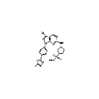 CNS(=O)(=O)[C@@H]1CC[C@@H](Nc2ncc3c(Br)nn(-c4ccc(-c5nnc(C)s5)cc4)c3n2)C1